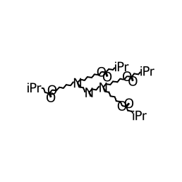 CC(C)CCC(=O)OCCCCCCN(CCCCCCOC(=O)CCC(C)C)CCCN(C)CCCN(CCCCCCOC(=O)CCC(C)C)CCCCCCOC(=O)CCC(C)C